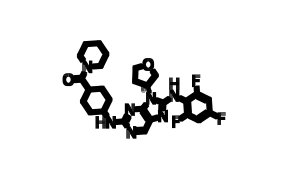 O=C(C1CCC(Nc2ncc3nc(Nc4c(F)cc(F)cc4F)n([C@H]4CCOC4)c3n2)CC1)N1CCCCC1